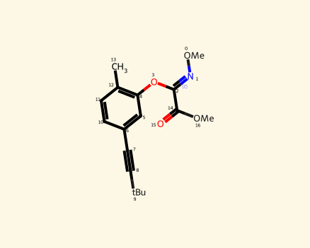 CO/N=C(\Oc1cc(C#CC(C)(C)C)ccc1C)C(=O)OC